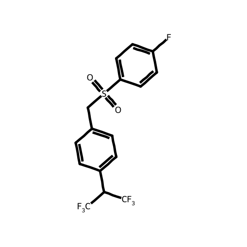 O=S(=O)(Cc1ccc(C(C(F)(F)F)C(F)(F)F)cc1)c1ccc(F)cc1